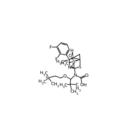 CC(C)(C)C(OCC[Si](C)(C)C)N(C(=O)O)C1=N[C@](C)(c2cccc(F)c2F)[C@@H]2C[C@]2(S(C)(=O)=O)S1